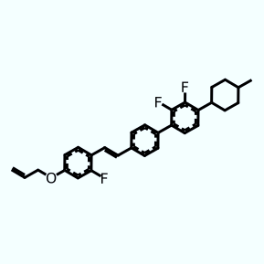 C=CCOc1ccc(/C=C/c2ccc(-c3ccc(C4CCC(C)CC4)c(F)c3F)cc2)c(F)c1